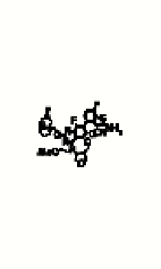 COCCN1c2nc(OC[C@@]34CCCN3C[C@H](F)C4)nc3c(F)c(-c4ccc(F)c5sc(N)c(C#N)c45)c(Cl)c(c23)OCC2COCC21